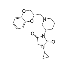 O=C1CN(C2CC2)C(=O)N1C1CCCN(CC2COc3ccccc3O2)C1